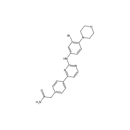 NC(=O)Cc1ccc(-c2ccnc(Nc3ccc(N4CCOCC4)c(Br)c3)n2)cc1